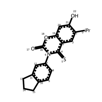 CC(C)c1cc2c(=S)n(-c3ccc4c(c3)CCC4)c(=O)oc2cc1O